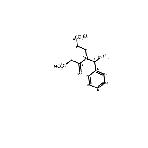 CCOC(=O)CCN(C(=O)CC(=O)O)C(C)c1ccccc1